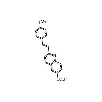 CSc1ccc(/C=C/c2ccc3cc(C(=O)O)ccc3n2)cc1